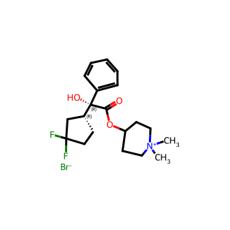 C[N+]1(C)CCC(OC(=O)[C@](O)(c2ccccc2)[C@@H]2CCC(F)(F)C2)CC1.[Br-]